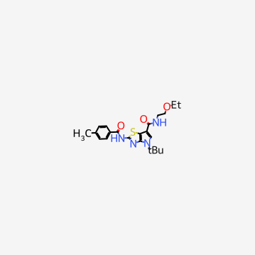 CCOCCNC(=O)c1cn(C(C)(C)C)c2nc(NC(=O)c3ccc(C)cc3)sc12